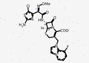 CO/N=C(\C(=O)N[C@@H]1C(=O)N2C(C(=O)[O-])=C(Cn3cc[n+]4cccc(F)c34)CS[C@@H]12)c1nc(N)sc1Cl